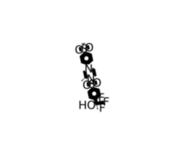 C[C@@H]1CN(c2ccc(S(C)(=O)=O)cc2)CCN1S(=O)(=O)c1ccc([C@](C)(O)C(F)(F)F)cc1